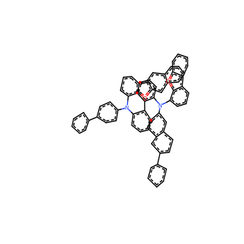 c1ccc(-c2ccc(N(c3ccccc3-c3ccccc3N(c3ccc4cc(-c5ccccc5)ccc4c3)c3cccc4c3oc3ccccc34)c3cccc4c3oc3cc5ccccc5cc34)cc2)cc1